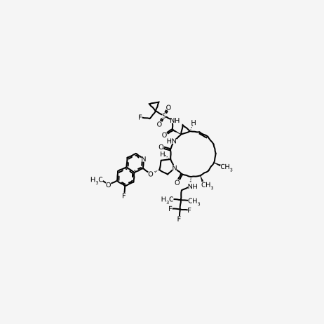 COc1cc2ccnc(O[C@@H]3C[C@H]4C(=O)N[C@]5(C(=O)NS(=O)(=O)C6(CF)CC6)C[C@H]5/C=C\CC[C@@H](C)C[C@@H](C)[C@H](NCC(C)(C)C(F)(F)F)C(=O)N4C3)c2cc1F